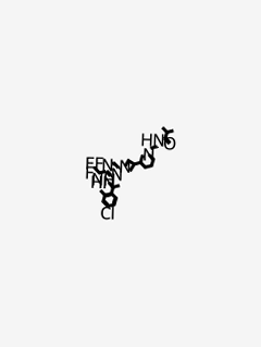 Cc1cc(Cl)ccc1C(C)Nc1nc(N2CC(C3CCCN(CCNC(=O)C(C)C)C3)C2)cnc1C(=N)C(F)(F)F